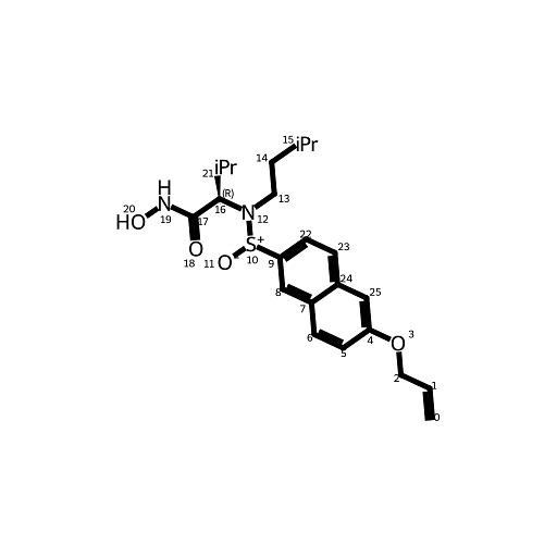 C=CCOc1ccc2cc([S+]([O-])N(CCC(C)C)[C@@H](C(=O)NO)C(C)C)ccc2c1